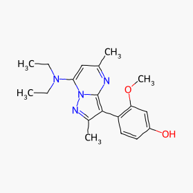 CCN(CC)c1cc(C)nc2c(-c3ccc(O)cc3OC)c(C)nn12